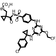 O=C(O)NCC1(C(=O)NS(=O)(=O)c2ccc(Nc3nc(NC4(c5ccc(Cl)cc5)CC4)nc(OCC(F)(F)F)n3)cc2)CC1